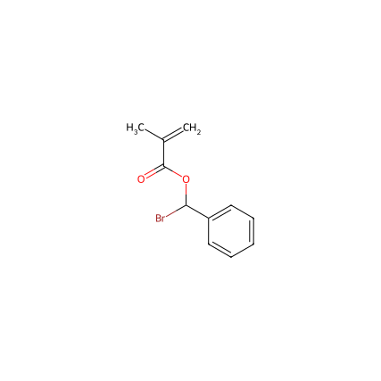 C=C(C)C(=O)OC(Br)c1ccccc1